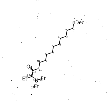 CCCCCCCCCCCCCCCCCCCCCC(=O)C(CC)N(CC)CC